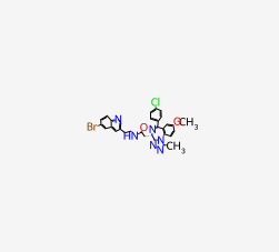 COc1ccc2c(c1)C(c1ccc(Cl)cc1)=N[C@@H](CC(=O)NCCc1cnc3ccc(Br)cc3c1)c1nnc(C)n1-2